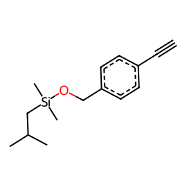 C#Cc1ccc(CO[Si](C)(C)CC(C)C)cc1